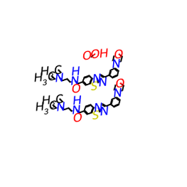 CCN(CC)CCCNC(=O)c1ccc2c(c1)sc1nc(-c3cccc(N4CCOCC4)c3)cn12.CCN(CC)CCCNC(=O)c1ccc2c(c1)sc1nc(-c3cccc(N4CCOCC4)c3)cn12.O=CO